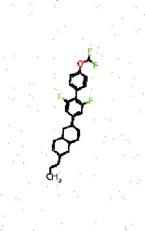 CCCC1CCC2CC(c3cc(F)c(-c4ccc(OC(F)F)cc4)c(F)c3)CCC2C1